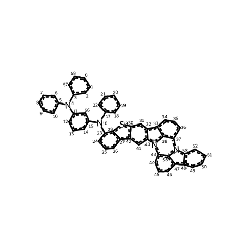 c1ccc(N(c2ccccc2)c2cccc(N(c3ccccc3)c3cccc4c3sc3cc5c6cccc7c6n(c5cc34)c3cccc4c5ccccc5n7c43)c2)cc1